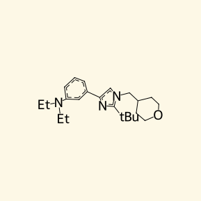 CCN(CC)c1cccc(-c2cn(CC3CCOCC3)c(C(C)(C)C)n2)c1